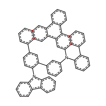 c1ccc(-c2ccc(-n3c4ccccc4c4ccccc43)c(-c3cccc(N(c4ccc5c6ccccc6c6ccccc6c5c4)c4ccccc4-c4ccccc4)c3)c2)cc1